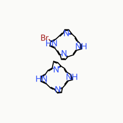 Brc1cc2cc3nc(cc4ccc(cc5nc(cc1[nH]2)C=C5)[nH]4)C=C3.C1=Cc2cc3ccc(cc4nc(cc5ccc(cc1n2)[nH]5)C=C4)[nH]3